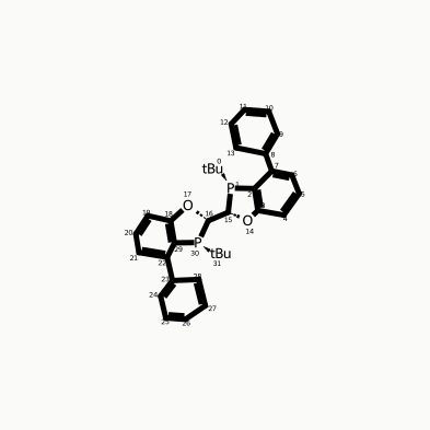 CC(C)(C)[P@]1c2c(cccc2-c2ccccc2)O[C@@H]1[C@H]1Oc2cccc(-c3ccccc3)c2[P@@]1C(C)(C)C